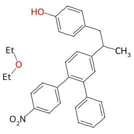 CC(Cc1ccc(O)cc1)c1ccc(-c2ccc([N+](=O)[O-])cc2)c(-c2ccccc2)c1.CCOCC